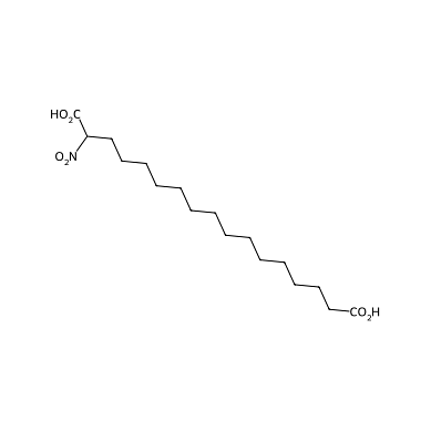 O=C(O)CCCCCCCCCCCCCCC(C(=O)O)[N+](=O)[O-]